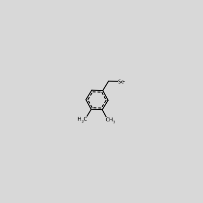 Cc1ccc(C[Se])cc1C